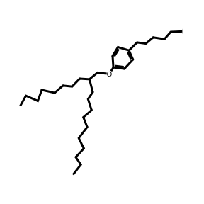 CCCCCCCCCCC(CCCCCCCC)COc1ccc(CCCCCI)cc1